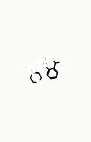 CC(C)c1ccccc1S(=O)(=O)O.CN1CCOCC1